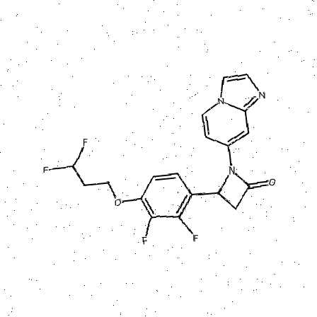 O=C1CC(c2ccc(OCCC(F)F)c(F)c2F)N1c1ccn2ccnc2c1